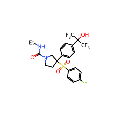 CCNC(=O)N1CCC(c2ccc(C(O)(C(F)(F)F)C(F)(F)F)cc2)(S(=O)(=O)c2ccc(F)cc2)C1